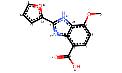 COc1ccc(C(=O)O)c2nc(-c3ccco3)[nH]c12